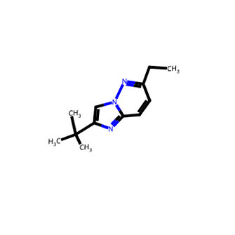 CCc1ccc2nc(C(C)(C)C)cn2n1